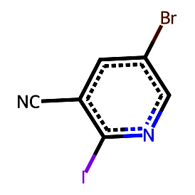 N#Cc1cc(Br)cnc1I